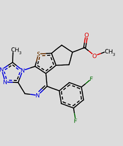 COC(=O)C1Cc2sc3c(c2C1)C(c1cc(F)cc(F)c1)=NCc1nnc(C)n1-3